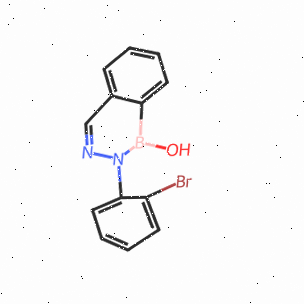 OB1c2ccccc2C=NN1c1ccccc1Br